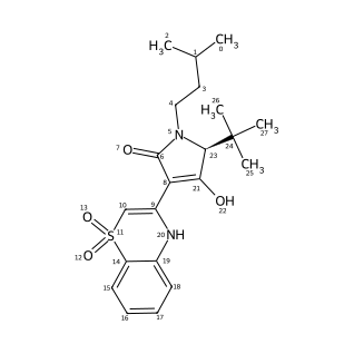 CC(C)CCN1C(=O)C(C2=CS(=O)(=O)c3ccccc3N2)=C(O)[C@@H]1C(C)(C)C